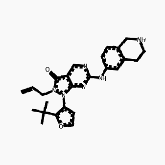 C=CCn1c(=O)c2cnc(Nc3ccc4c(c3)CCNC4)nc2n1-c1ccoc1C(C)(C)C